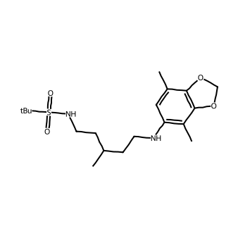 Cc1cc(NCCC(C)CCNS(=O)(=O)C(C)(C)C)c(C)c2c1OCO2